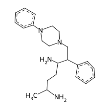 CC(N)CCC(N)C(CN1CCN(c2ccccc2)CC1)c1ccccc1